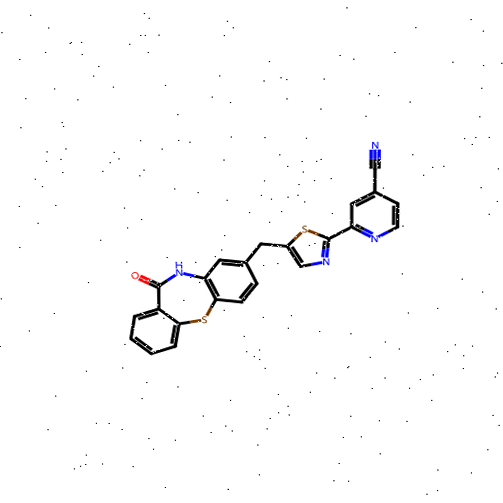 N#Cc1ccnc(-c2ncc(Cc3ccc4c(c3)NC(=O)c3ccccc3S4)s2)c1